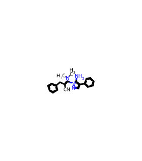 CN(C)C(=C(C#N)Cc1ccccc1)n1ncc(-c2ccccc2)c1N